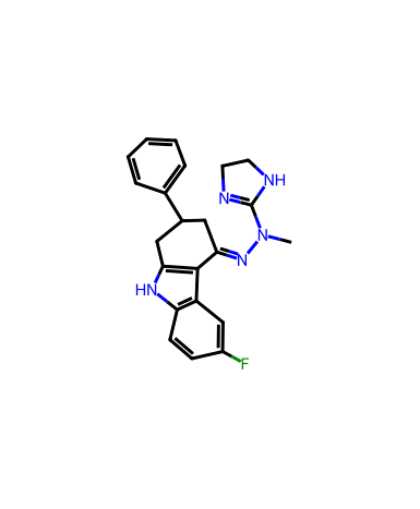 CN(N=C1CC(c2ccccc2)Cc2[nH]c3ccc(F)cc3c21)C1=NCCN1